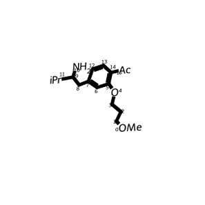 COCCCOc1cc(CC(N)C(C)C)ccc1C(C)=O